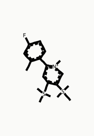 Cc1cc(F)ccc1-c1cc(S(C)(C)C)c(S(C)(C)C)c[n+]1C